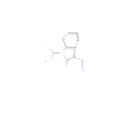 Cc1c(CN)c2ccccc2n1C(C)C